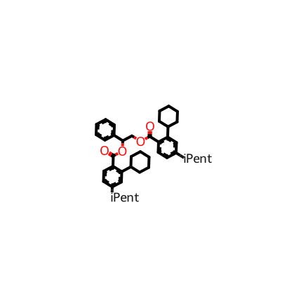 CCCC(C)c1ccc(C(=O)OCC(OC(=O)c2ccc(C(C)CCC)cc2C2CCCCC2)c2ccccc2)c(C2CCCCC2)c1